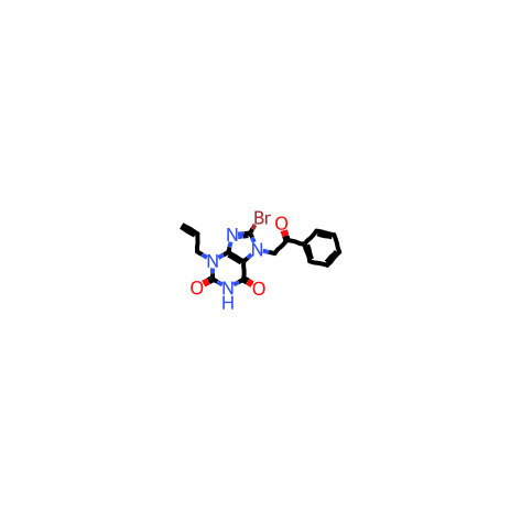 C=CCn1c(=O)[nH]c(=O)c2c1nc(Br)n2CC(=O)c1ccccc1